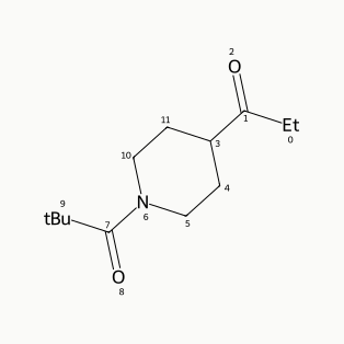 CCC(=O)C1CCN(C(=O)C(C)(C)C)CC1